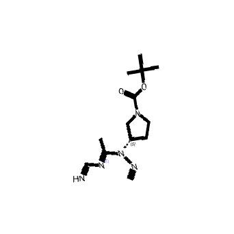 C=NN(/C(C)=N/C=N)[C@H]1CCN(C(=O)OC(C)(C)C)C1